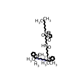 CC(C)CCCCCCNC(=O)C(CCCCNC(=O)CCCCC[N+]1=C(/C=C/C=C/C=C2\N(C)c3ccccc3C2(C)C)C(C)(C)c2ccccc21)N1C(=O)C=CC1=O